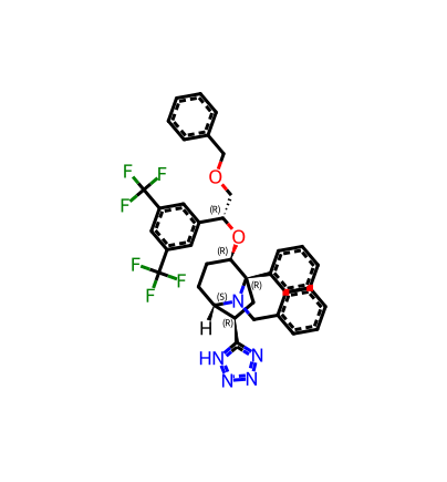 FC(F)(F)c1cc([C@H](COCc2ccccc2)O[C@@H]2CC[C@H]3[C@H](c4nnn[nH]4)C[C@]2(c2ccccc2)N3Cc2ccccc2)cc(C(F)(F)F)c1